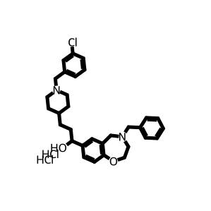 Cl.Cl.OC(CCC1CCN(Cc2cccc(Cl)c2)CC1)c1ccc2c(c1)CN(Cc1ccccc1)CCO2